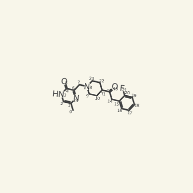 Cc1c[nH]c(=O)c(CN2CCC(C(=O)Cc3ccccc3F)CC2)n1